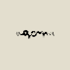 COCC(=O)OCCN1CCN(C(=O)c2cccc(CN)c2)CC1